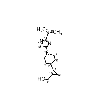 CC(C)c1noc(N2CCC([C@H]3C[C@H]3CO)CC2)n1